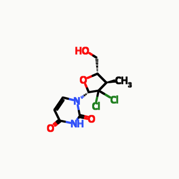 C[C@@H]1[C@@H](CO)O[C@@H](n2ccc(=O)[nH]c2=O)C1(Cl)Cl